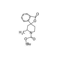 CC1CC2(CCN1C(=O)OC(C)(C)C)OC(=O)c1ccccc12